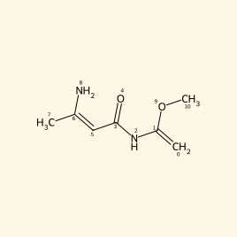 C=C(NC(=O)/C=C(/C)N)OC